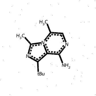 Cc1cnc(N)c2c(C(C)(C)C)nc(C)n12